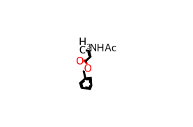 CC(=O)NC(C)=CC(=O)OCc1ccccc1